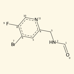 O=CNCc1cc(Br)c(F)cn1